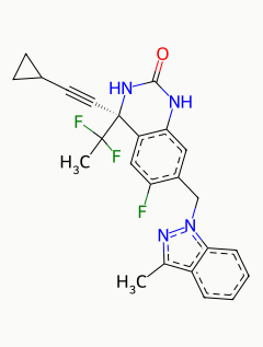 Cc1nn(Cc2cc3c(cc2F)[C@@](C#CC2CC2)(C(C)(F)F)NC(=O)N3)c2ccccc12